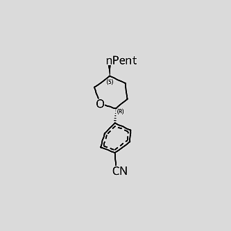 CCCCC[C@H]1CC[C@H](c2ccc(C#N)cc2)OC1